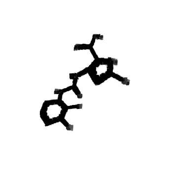 COC(=O)c1[nH]c(C(C)(C)C)cc1NC(=O)Nc1cccc(Cl)c1Cl